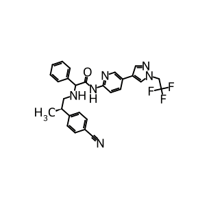 C[C@@H](CNC(C(=O)Nc1ccc(-c2cnn(CC(F)(F)F)c2)cn1)c1ccccc1)c1ccc(C#N)cc1